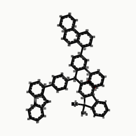 CC1(C)c2ccccc2-c2ccc(N(c3ccc(-c4cccc5c4oc4ccccc45)cc3)c3ccc(-c4cccc5c4ccc4ccccc45)cc3-c3ccccc3)cc21